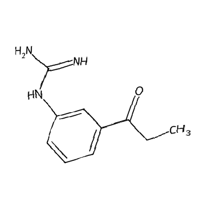 CCC(=O)c1cccc(NC(=N)N)c1